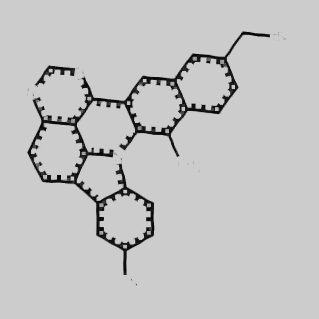 Cc1c2ccc(CC(C)(C)C)cc2cc2c3ncnc4ccc5c6cc(C#N)ccc6n(c12)c5c43